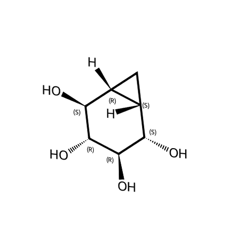 O[C@H]1[C@H](O)[C@@H](O)[C@@H]2C[C@@H]2[C@@H]1O